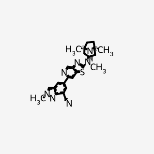 CN(c1nc2cnc(-c3cc(C#N)c4nn(C)cc4c3)cc2s1)[C@@H]1C[C@]2(C)CC[C@](C)(C1)N2